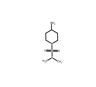 CN(C)S(=O)(=O)N1CCC(N)CC1